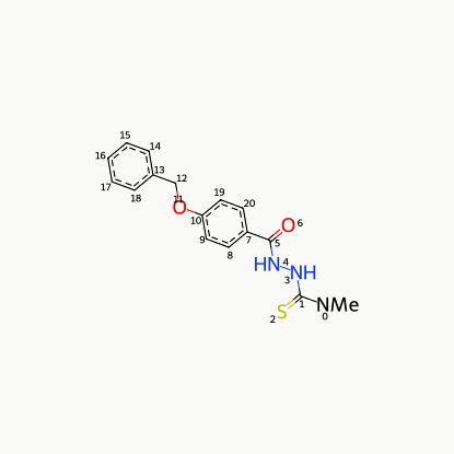 CNC(=S)NNC(=O)c1ccc(OCc2ccccc2)cc1